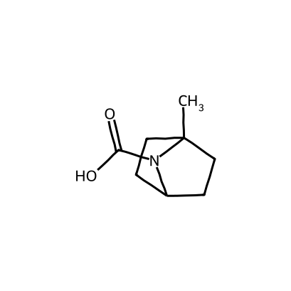 CC12CCC(CC1)N2C(=O)O